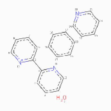 O.c1ccc(-c2ccccn2)nc1.c1ccccc1.c1ccncc1